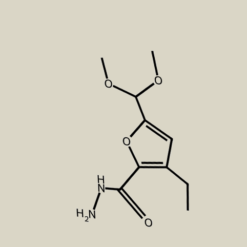 CCc1cc(C(OC)OC)oc1C(=O)NN